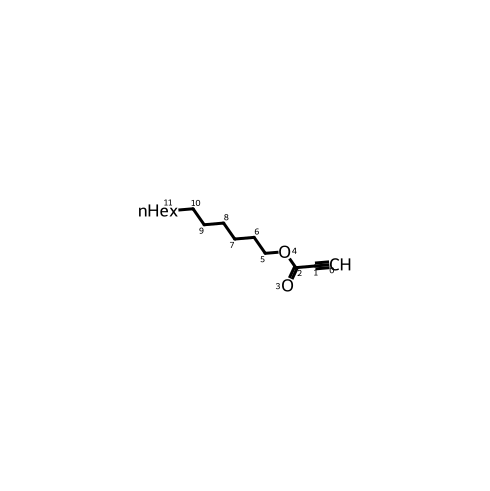 C#CC(=O)OCCCCCCCCCCCC